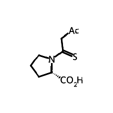 CC(=O)CC(=S)N1CCC[C@H]1C(=O)O